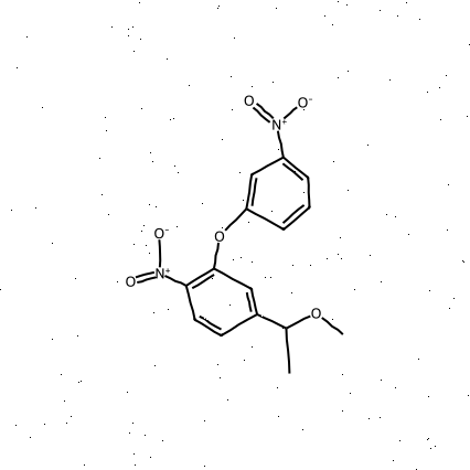 COC(C)c1ccc([N+](=O)[O-])c(Oc2cccc([N+](=O)[O-])c2)c1